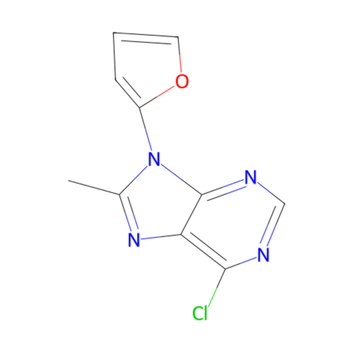 Cc1nc2c(Cl)ncnc2n1-c1ccco1